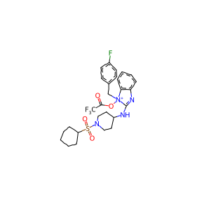 O=C(O[N+]1(Cc2ccc(F)cc2)C(NC2CCN(S(=O)(=O)C3CCCCC3)CC2)=Nc2ccccc21)C(F)(F)F